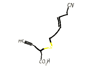 C#CC(SCC=CCC#N)C(=O)O